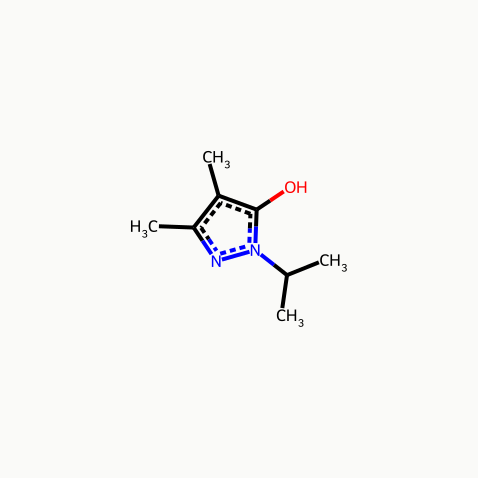 Cc1nn(C(C)C)c(O)c1C